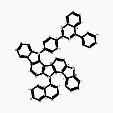 c1ccc(-c2nc(-c3ccc(-n4c5ccccc5c5ccc6c(c7ccc8oc9ccccc9c8c7n6-c6cccc7ccccc67)c54)cc3)nc3ccccc23)cc1